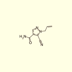 C=CCn1ncc(C(N)=O)c1C#N